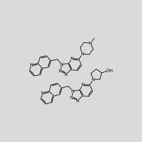 CN1CCN(c2ccc3nnn(Cc4ccc5ncccc5c4)c3n2)CC1.OC1CCN(c2ccc3nnn(Cc4ccc5ncccc5c4)c3n2)C1